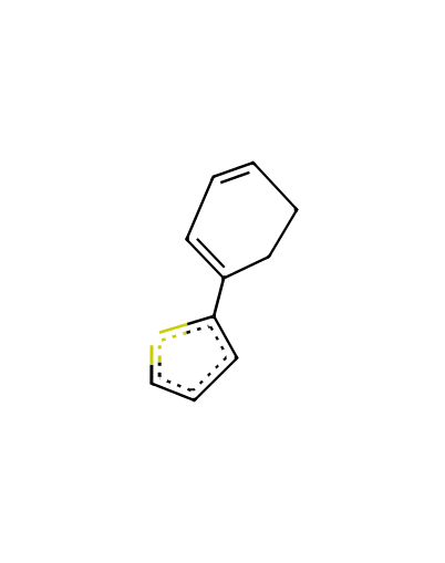 C1=CCCC(c2cccs2)=C1